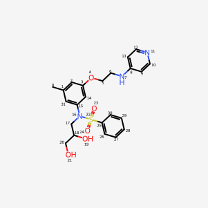 Cc1cc(OCCNc2ccncc2)cc(N(CC(O)CO)S(=O)(=O)c2ccccc2)c1